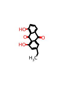 CCc1cc(O)c2c(c1)C(=O)c1cccc(O)c1C2=O